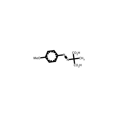 COc1ccc(N=NC(C)(C(=O)O)C(=O)O)cc1